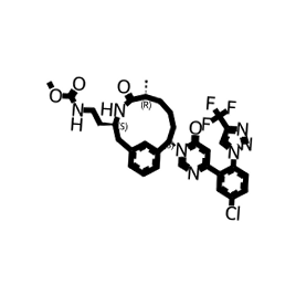 COC(=O)NCC[C@@H]1Cc2cccc(c2)[C@@H](n2cnc(-c3cc(Cl)ccc3-n3cc(C(F)(F)F)nn3)cc2=O)CCC[C@@H](C)C(=O)N1